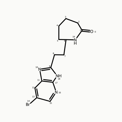 O=C1CCCCC(CCc2nc3cc(Br)cnc3[nH]2)N1